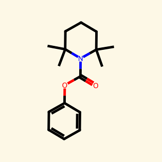 CC1(C)CCCC(C)(C)N1C(=O)Oc1ccccc1